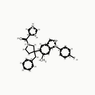 Cc1cc2c(cnn2-c2ccc(F)cc2)cc1C1(Cc2ccccc2)CCN(C(=O)c2cncs2)C1